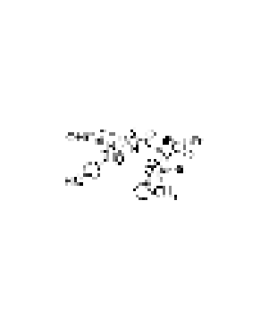 CCCC(=O)OCN(C(=O)[C@@H](NC(=O)[C@H]1CCCCN1C)C(C)CC)[C@H](C[C@@H](O)c1nc(C(=O)N[C@@H](Cc2ccc(O)cc2)C[C@H](C)C=O)cs1)C(C)C